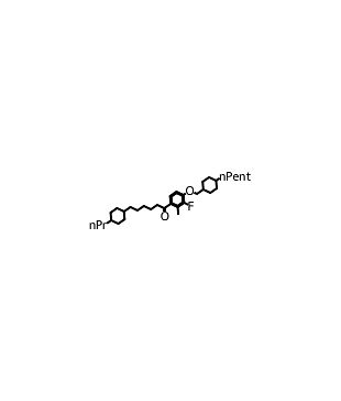 CCCCCC1CCC(COc2ccc(C(=O)CCCCCC3CCC(CCC)CC3)c(C)c2F)CC1